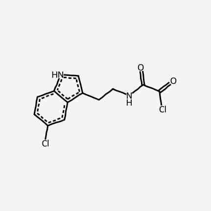 O=C(Cl)C(=O)NCCc1c[nH]c2ccc(Cl)cc12